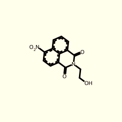 O=C1c2cccc3c([N+](=O)[O-])ccc(c23)C(=O)N1CCO